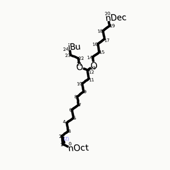 CCCCCCCC/C=C\CCCCCCCCCC(OCCCCCCCCCCCCCCCC)OCCC(C)CC